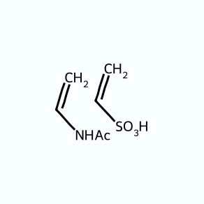 C=CNC(C)=O.C=CS(=O)(=O)O